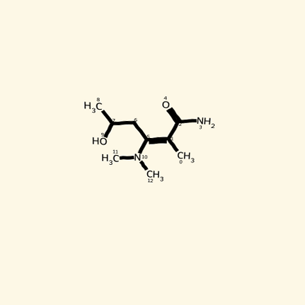 C/C(C(N)=O)=C(/CC(C)O)N(C)C